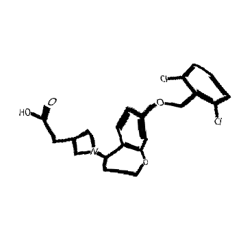 O=C(O)CC1CN(C2CCOc3cc(OCc4c(Cl)cccc4Cl)ccc32)C1